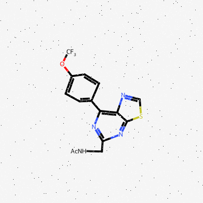 CC(=O)NCc1nc(-c2ccc(OC(F)(F)F)cc2)c2ncsc2n1